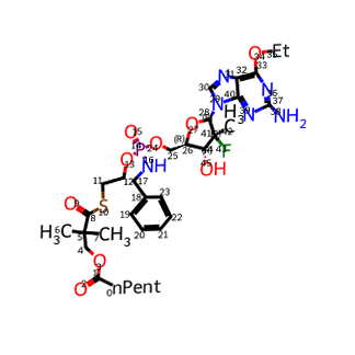 CCCCCC(=O)OCC(C)(C)C(=O)SCCOP(=O)(NCc1ccccc1)OC[C@H]1O[C@@H](n2cnc3c(OCC)nc(N)nc32)[C@](C)(F)[C@@H]1O